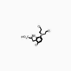 N[C@H](CC(=O)O)Cc1cc(N(CCCl)CCCl)ccc1Cl